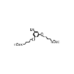 [CH2]Cc1cc(OCCCCCCCCCCCCCC)cc(OCCCCCCCCCCCCCC)c1